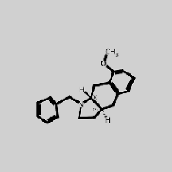 COc1cccc2c1C[C@@H]1[C@H](CCN1Cc1ccccc1)C2